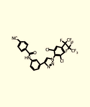 N#Cc1ccc(C(=O)Nc2cccc(-c3cn(-c4c(Cl)cc(C(F)(C(F)(F)F)C(F)(F)C(F)(F)F)cc4Cl)nn3)c2)cc1